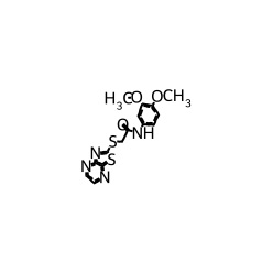 COc1ccc(NC(=O)CSc2nc3nccnc3s2)cc1OC